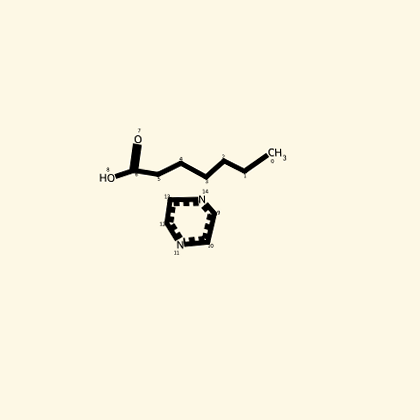 CCCCCCC(=O)O.c1cnccn1